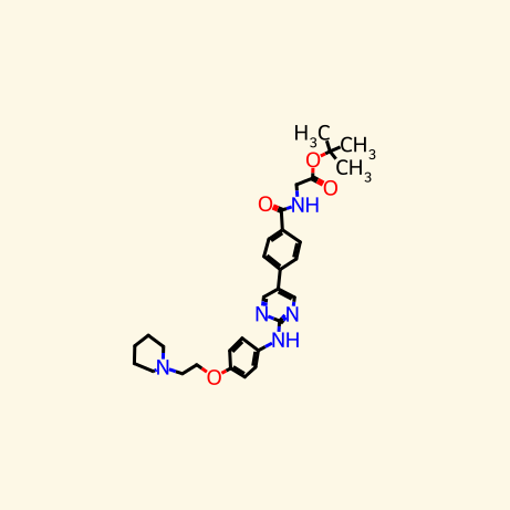 CC(C)(C)OC(=O)CNC(=O)c1ccc(-c2cnc(Nc3ccc(OCCN4CCCCC4)cc3)nc2)cc1